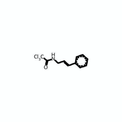 O=C(NCC=Cc1ccccc1)C(Cl)(Cl)Cl